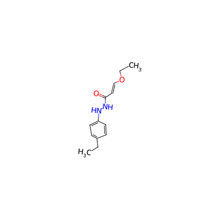 CCO/C=C/C(=O)NNc1ccc(CC)cc1